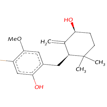 C=C1[C@@H](O)CCC(C)(C)[C@H]1Cc1cc(OC)c(Br)cc1O